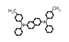 Cc1ccc(N(c2ccccc2)c2ccc3cc(N(c4ccccc4)c4ccc(C)cc4)ccc3c2)cc1